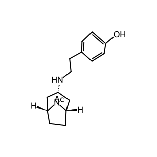 CC(=O)N1[C@@H]2CC[C@H]1C[C@@H](NCCc1ccc(O)cc1)C2